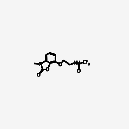 Cn1c(=O)oc2c(OCCNC(=O)C(F)(F)F)cccc21